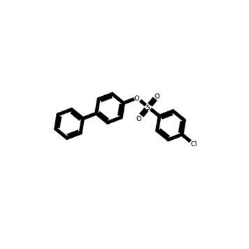 O=S(=O)(Oc1ccc(-c2ccccc2)cc1)c1ccc(Cl)cc1